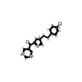 O=C(c1cncnc1)c1cc(CCc2ccc(Cl)cc2)cs1